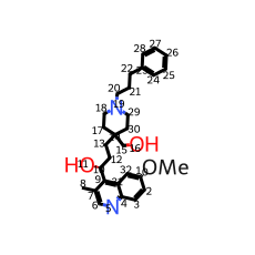 COc1ccc2ncc(C)c([C@@H](O)CCC3(CO)CCN(CCCc4ccccc4)CC3)c2c1